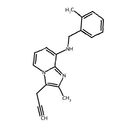 C#CCc1c(C)nc2c(NCc3ccccc3C)cccn12